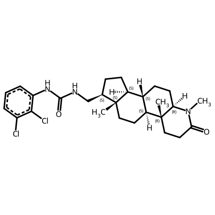 CN1C(=O)CC[C@]2(C)[C@H]3CC[C@]4(C)[C@@H](CNC(=O)Nc5cccc(Cl)c5Cl)CC[C@H]4[C@@H]3CC[C@@H]12